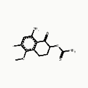 COc1c(F)cc(N)c2c1CCC(OC(N)=O)C2=O